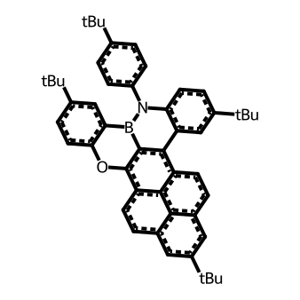 CC(C)(C)c1ccc(N2B3c4cc(C(C)(C)C)ccc4Oc4c3c(c3ccc5cc(C(C)(C)C)cc6ccc4c3c65)-c3cc(C(C)(C)C)ccc32)cc1